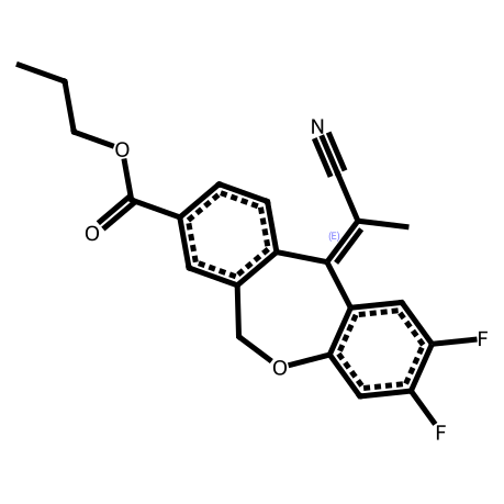 CCCOC(=O)c1ccc2c(c1)COc1cc(F)c(F)cc1/C2=C(\C)C#N